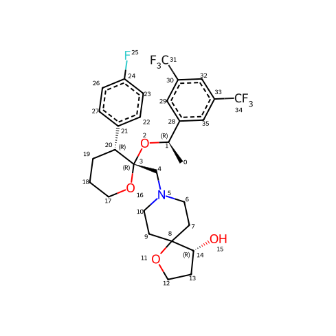 C[C@@H](O[C@]1(CN2CCC3(CC2)OCC[C@H]3O)OCCC[C@@H]1c1ccc(F)cc1)c1cc(C(F)(F)F)cc(C(F)(F)F)c1